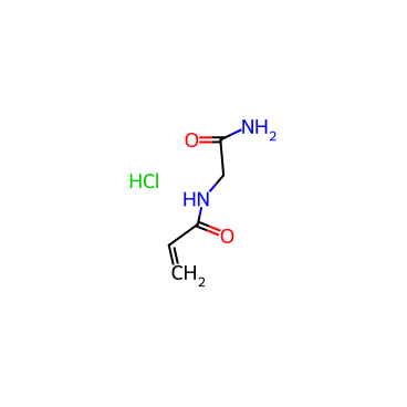 C=CC(=O)NCC(N)=O.Cl